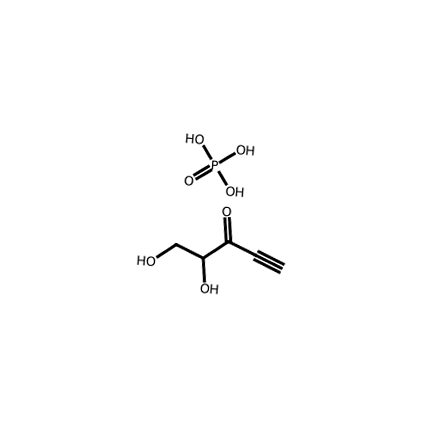 C#CC(=O)C(O)CO.O=P(O)(O)O